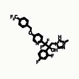 CN1N=CN(CC(O)(c2ccc(F)cc2F)C(F)(F)c2ccc(OCc3ccc(C(F)(F)F)cc3)cn2)N1